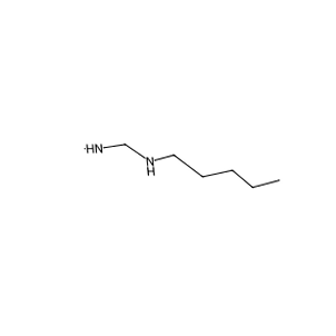 CCCCCNC[NH]